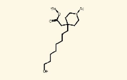 CC(=O)N1CCC(CCCCCCCCO)(CC(=O)OC(C)(C)C)CC1